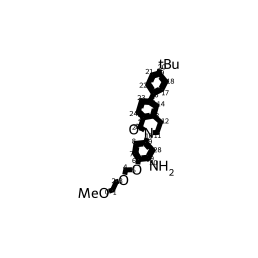 COCCOCOc1ccc(N2CCc3cc(-c4ccc(C(C)(C)C)cc4)ccc3C2=O)cc1N